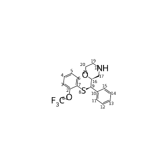 FC(F)(F)Oc1ccccc1S[C@H](c1ccccc1)[C@@H]1CNCCO1